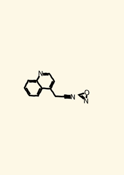 C1=NO1.N#CCc1ccnc2ccccc12